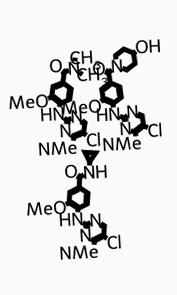 CNc1nc(Nc2ccc(C(=O)N(C)C)cc2OC)ncc1Cl.CNc1nc(Nc2ccc(C(=O)N3CCC(O)CC3)cc2OC)ncc1Cl.CNc1nc(Nc2ccc(C(=O)NC3CC3)cc2OC)ncc1Cl